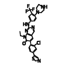 CCn1c(=O)c(-c2ccc(-c3cncs3)cc2Cl)cc2cnc(Nc3ccc(N4CCNCC4)c(C(F)(F)F)c3)nc21